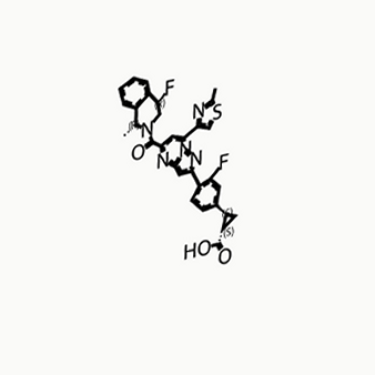 Cc1nc(-c2cc(C(=O)N3C[C@H](F)c4ccccc4[C@H]3C)nc3cc(-c4ccc([C@H]5C[C@@H]5C(=O)O)cc4F)nn23)cs1